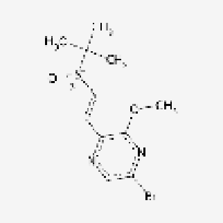 COc1nc(Br)cnc1C=N[S@+]([O-])C(C)(C)C